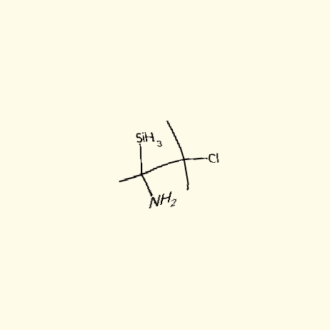 CC(N)([SiH3])C(C)(C)Cl